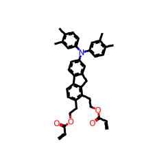 C=CC(=O)OCCc1ccc2c(c1CCOC(=O)C=C)Cc1cc(N(c3ccc(C)c(C)c3)c3ccc(C)c(C)c3)ccc1-2